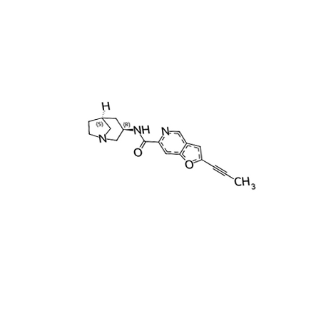 CC#Cc1cc2cnc(C(=O)N[C@@H]3C[C@@H]4CCN(C4)C3)cc2o1